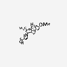 COc1ccc(N2CCc3c(-n4ccc(-c5nccs5)n4)cc(C)nc32)c(C)c1